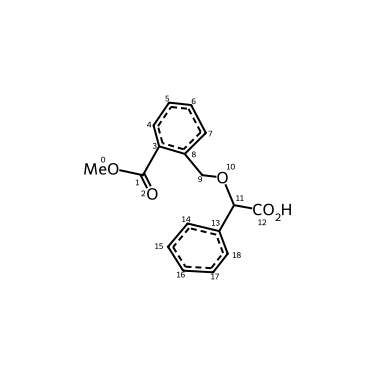 COC(=O)c1ccccc1COC(C(=O)O)c1ccccc1